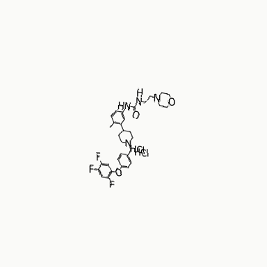 Cc1ccc(NC(=O)NCCN2CCOCC2)cc1C1CCN(Cc2ccc(Oc3cc(F)c(F)cc3F)cc2)CC1.Cl.Cl